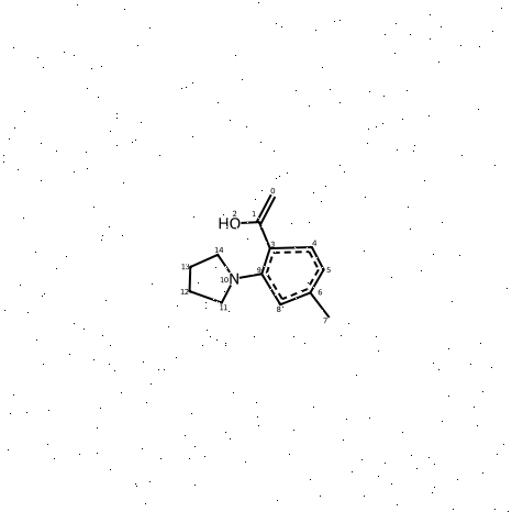 C=C(O)c1ccc(C)cc1N1CCCC1